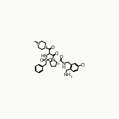 CN1CCN(C(=O)C(NS(=O)(=O)Cc2ccccc2)C(=O)N2CCC[C@H]2C(=O)NCc2cc(Cl)ccc2CN)CC1